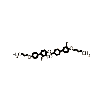 C=CCCCOc1ccc(C2CCC(C(=O)Oc3ccc(-c4ccc(OCCCC)cc4)c(F)c3F)CC2)cc1F